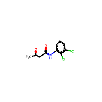 CC(=O)CC(=O)Nc1cccc(Cl)c1Cl